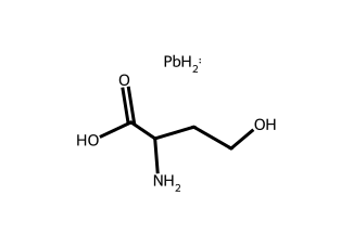 NC(CCO)C(=O)O.[PbH2]